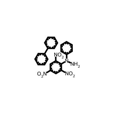 NN(c1ccccc1)c1c([N+](=O)[O-])cc([N+](=O)[O-])cc1[N+](=O)[O-].c1ccc(-c2ccccc2)cc1